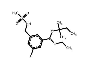 CCOB(OC(C)(C)CC)c1cc(F)cc(CNS(C)(=O)=O)c1